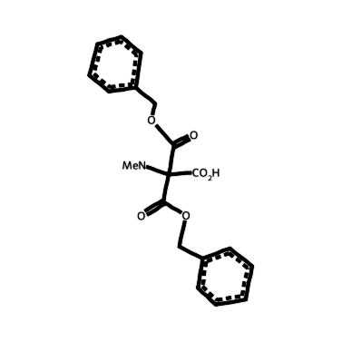 CNC(C(=O)O)(C(=O)OCc1ccccc1)C(=O)OCc1ccccc1